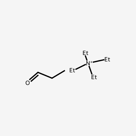 CCC=O.CC[N+](CC)(CC)CC